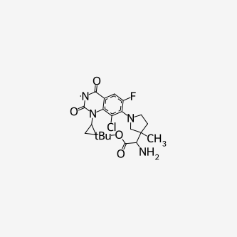 CC(C)(C)OC(=O)C(N)C1(C)CCN(c2c(F)cc3c(c2Cl)N(C2CC2)C(=O)[N]C3=O)C1